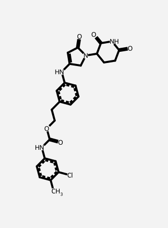 Cc1ccc(NC(=O)OCCc2cccc(NC3=CC(=O)N(C4CCC(=O)NC4=O)C3)c2)cc1Cl